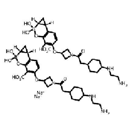 NCCNC1CCC(CC(=O)N2CC(Oc3ccc4c(c3C(=O)O)O[B-](O)(O)[C@@H]3C[C@H]43)C2)CC1.NCCNC1CCC(CC(=O)N2CC(Oc3ccc4c(c3C(=O)O)O[B-](O)(O)[C@@H]3C[C@H]43)C2)CC1.[Na+].[Na+]